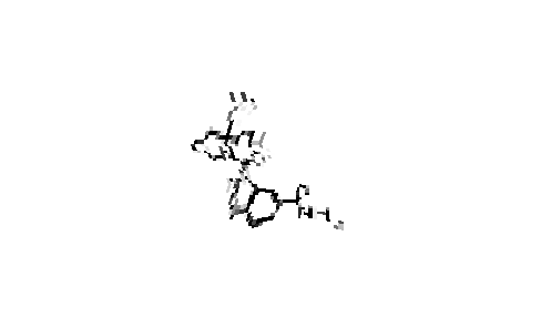 CC1(C)COCN1C(=O)n1nnc2ccc(C(N)=O)cc21